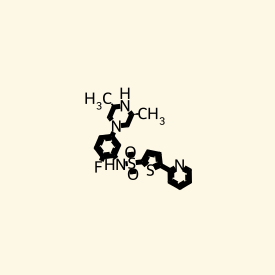 C[C@@H]1CN(c2ccc(F)c(NS(=O)(=O)c3ccc(-c4ccccn4)s3)c2)C[C@H](C)N1